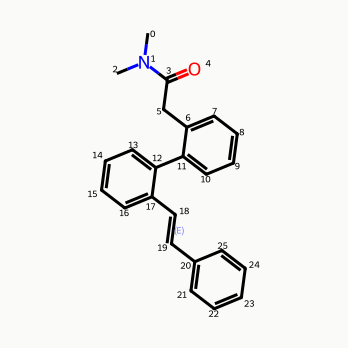 CN(C)C(=O)Cc1ccccc1-c1ccccc1/C=C/c1ccccc1